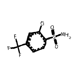 NS(=O)(=O)c1ccc(C(F)(F)F)cc1Cl